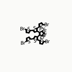 FC1(F)C(c2cc(-c3ccc(Br)s3)sc2-c2ccc(Br)s2)=C(c2cc(-c3ccc(Br)s3)sc2-c2ccc(Br)s2)C(F)(F)C1(F)F